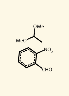 COC(C)OC.O=Cc1ccccc1[N+](=O)[O-]